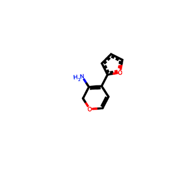 NC1=C(c2ccco2)C=COC1